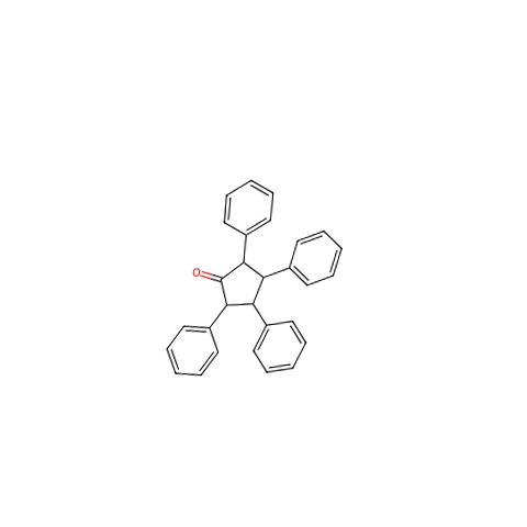 O=C1C(c2ccccc2)C(c2ccccc2)C(c2ccccc2)C1c1ccccc1